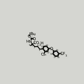 CC(C)(C)OC(=O)N[C@](C)(CCCc1ccc(Oc2cccc(C(F)(F)F)c2)cc1Cl)C(=O)O